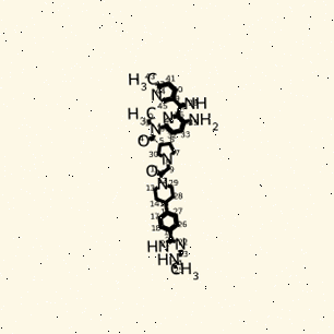 CCN(C(=O)[C@@H]1CCN(CC(=O)N2CCC(c3ccc(C(=N)/N=C\NC)cc3)CC2)C1)c1ccc(N)c(C(=N)c2ccc(C)nc2)n1